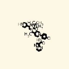 CC(C1CCN(c2ccc(Cl)cc2NC(=O)c2cnn3cccnc23)CC1)N(CC(N)C1CCNCC1)C(=O)OC(C)(C)C